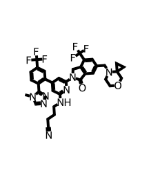 Cn1cnnc1-c1ccc(C(F)(F)F)cc1-c1cc(NCCCC#N)nc(N2Cc3c(cc(CN4CCOCC45CC5)cc3C(F)(F)F)C2=O)c1